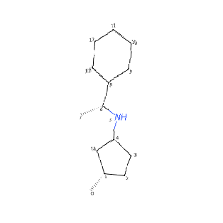 C[C@H]1CCC(N[C@H](C)C2CCCCC2)C1